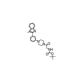 Cn1c(-c2cccc(N3CCN(C(=O)CNC(=O)OC(C)(C)C)CC3)c2)nc2ccccc21